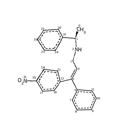 C[C@@H](NCC=C(c1ccccc1)c1ccc([N+](=O)[O-])cc1)c1ccccc1